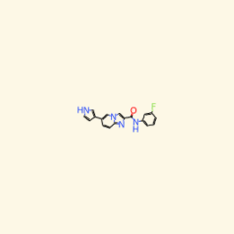 O=C(Nc1cccc(F)c1)c1cn2cc(-c3cc[nH]c3)ccc2n1